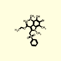 CCOC(=O)c1c(CS(=O)(=O)c2ccccc2)n(C)c2c(C)c(Br)c(O)c(N(C)C)c12